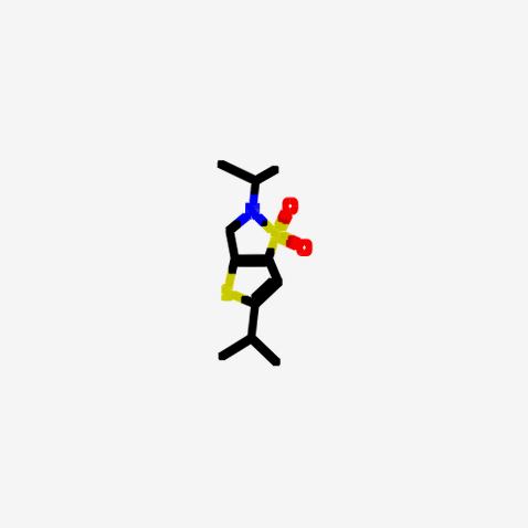 CC(C)c1cc2c(s1)CN(C(C)C)S2(=O)=O